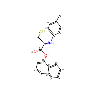 Cc1ccc(N[C@H](CS)C(=O)Oc2cccc3ccccc23)cc1